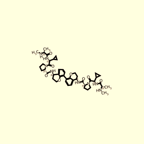 CN[C@@H](C)C(=O)N[C@H](C(=O)N1CCC[C@H]1C(=O)N[C@@H]1CCOc2c(-c3cccc4c3OCC[C@H]4NC(=O)[C@@H]3CCCN3C(=O)[C@@H](NC(=O)[C@H](C)NC)C3CC3)cccc21)C1CC1